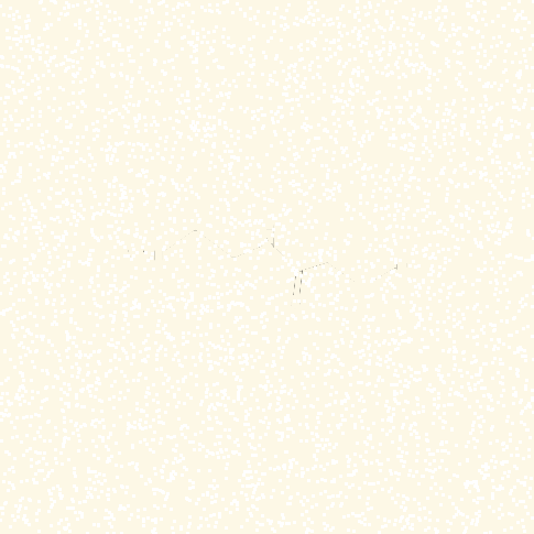 CCOCC(=O)NCCNC(C)=O